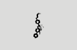 CC(C)CCCC1CCC(CCC2(OC(F)(F)F)C=CC(c3ccccc3)=C(F)C2F)CC1